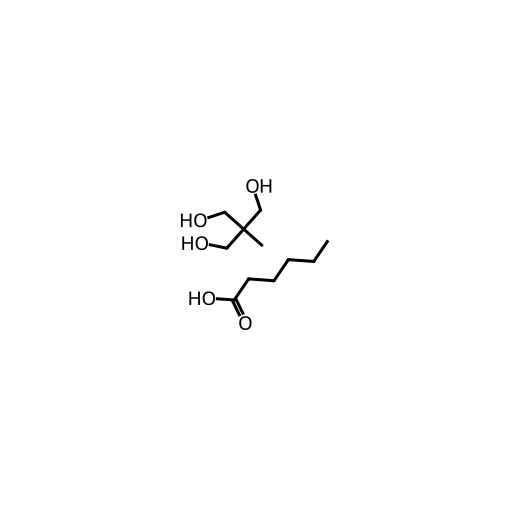 CC(CO)(CO)CO.CCCCCC(=O)O